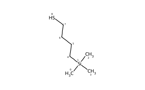 C[Si](C)(C)CCC[CH]S